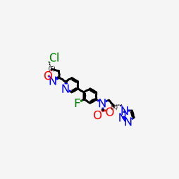 O=C1O[C@@H](Cn2ccnn2)CN1c1ccc(-c2ccc(C3=NO[C@H](CCl)C3)nc2)c(F)c1